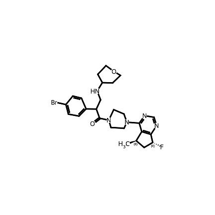 C[C@@H]1C[C@@H](F)c2ncnc(N3CCN(C(=O)C(CNC4CCOCC4)c4ccc(Br)cc4)CC3)c21